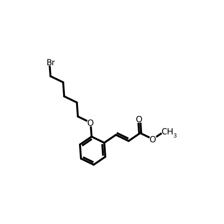 COC(=O)C=Cc1ccccc1OCCCCCBr